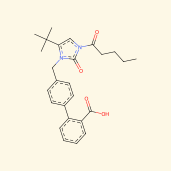 CCCCC(=O)n1cc(C(C)(C)C)n(Cc2ccc(-c3ccccc3C(=O)O)cc2)c1=O